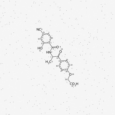 CC(NC(=O)c1ccc(C#N)cc1O)C(=O)c1ccc(OCC(=O)O)cc1